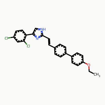 CCOc1ccc(-c2ccc(/C=C/c3nc(-c4ccc(Cl)cc4Cl)c[nH]3)cc2)cc1